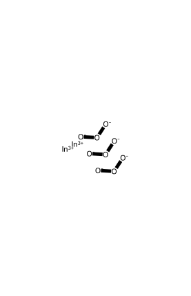 [In+3].[In+3].[O-]O[O-].[O-]O[O-].[O-]O[O-]